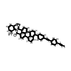 CC#Cc1ccc(C#Cc2ccc(-c3ccc4c5ccc6c7c(ccc(c8cccc3c84)c75)C(=O)N(c3c(C(C)C)cccc3C(C)C)C6=O)cc2)cc1